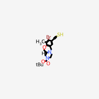 Cc1c(Br)c(C#CS)cc2c1OC[C@H]1CN(C(=O)OC(C)(C)C)CCN1C2